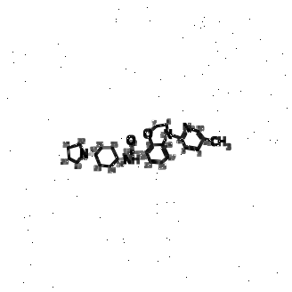 Cc1ccc(N2CCOc3c(C(=O)N[C@H]4CC[C@@H](N5CCCC5)CC4)cccc32)nc1